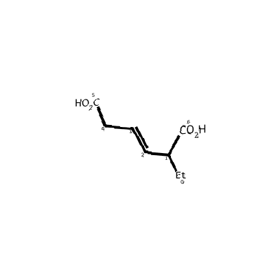 CCC(/C=C/CC(=O)O)C(=O)O